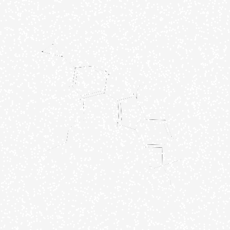 CCOSc1cc(C2CC2)cnc1-c1nc2cc(C(F)(F)F)ccc2n1C